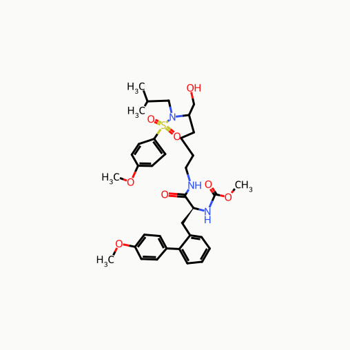 COC(=O)N[C@@H](Cc1ccccc1-c1ccc(OC)cc1)C(=O)NCCCCC(CO)N(CC(C)C)S(=O)(=O)c1ccc(OC)cc1